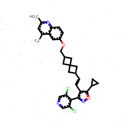 O=C(O)c1cc(C(F)(F)F)c2cc(OCC3CC4(CC(/C=C/c5c(-c6c(Cl)cncc6Cl)noc5C5CC5)C4)C3)ccc2n1